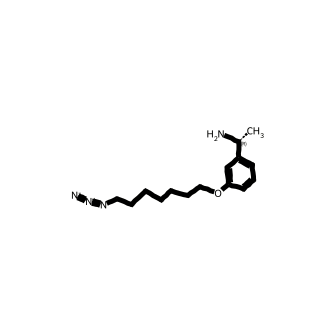 C[C@@H](N)c1cccc(OCCCCCCCN=[N+]=[N-])c1